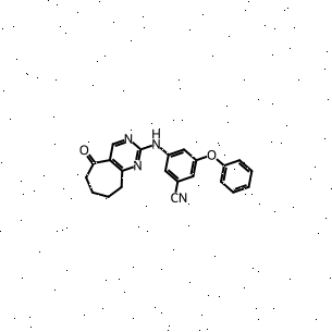 N#Cc1cc(Nc2ncc3c(n2)CCCCC3=O)cc(Oc2ccccc2)c1